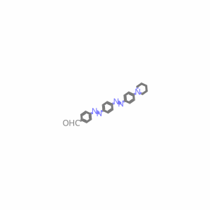 O=Cc1ccc(N=Nc2ccc(N=Nc3ccc(N4CCCCC4)cc3)cc2)cc1